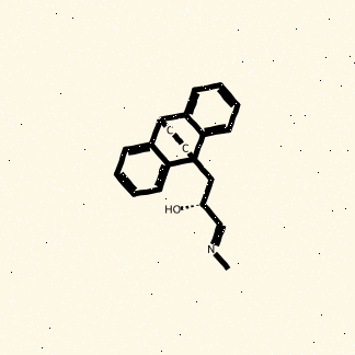 CN=C[C@H](O)CC12CCC(c3ccccc31)c1ccccc12